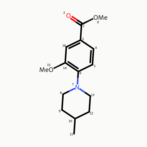 COC(=O)c1ccc(N2CCC(C)CC2)c(OC)c1